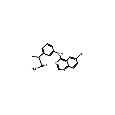 CC(C(N)=O)c1cccc(Nc2ncnc3ccc(Br)cc23)c1